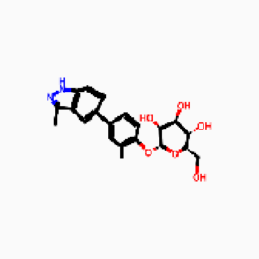 Cc1cc(-c2ccc3[nH]nc(C)c3c2)ccc1O[C@H]1O[C@H](CO)[C@@H](O)[C@H](O)[C@@H]1O